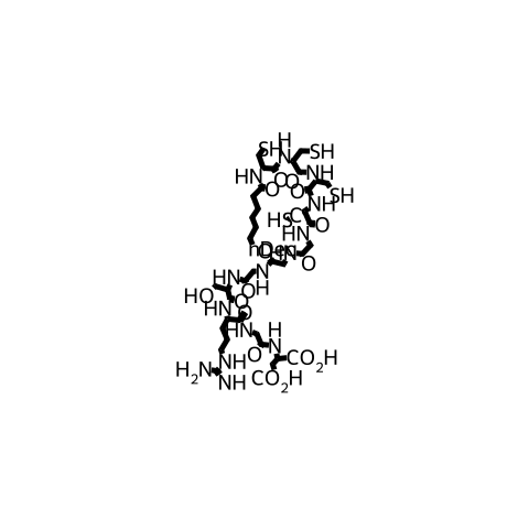 CCCCCCCCCCCCCCCC(=O)NC(CS)C(=O)NC(CS)C(=O)NC(CS)C(=O)NC(CS)C(=O)NCC(=O)NCC(=O)NCC(=O)NC(CO)C(=O)NC(CCCNC(=N)N)C(=O)NCC(=O)NC(CC(=O)O)C(=O)O